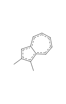 Cc1cc2cccccc-2c1C